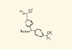 CCOC(OCC)c1ccc(C(NC(C)=O)c2ccc(N(C)C)cc2)cc1